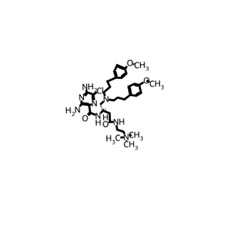 COc1ccc(CCCN(CCCc2ccc(OC)cc2)C[C@H](CC(O)NCC[N+](C)(C)C)NC(=O)c2nc(Cl)c(N)nc2N)cc1